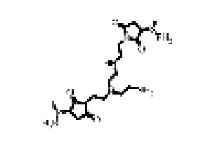 BP(I)C1CC(=O)C(CCN(CCN)CCNCCN2C(=O)CC(B(P)I)C2=O)C1=O